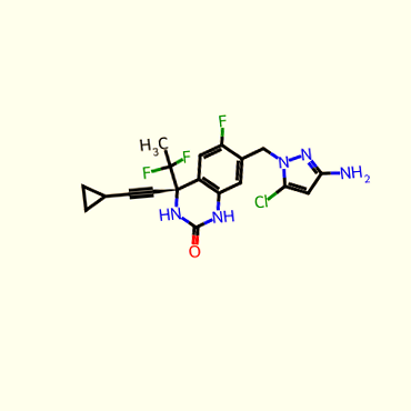 CC(F)(F)[C@@]1(C#CC2CC2)NC(=O)Nc2cc(Cn3nc(N)cc3Cl)c(F)cc21